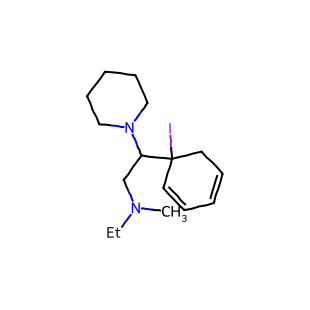 CCN(C)CC(N1CCCCC1)C1(I)C=CC=CC1